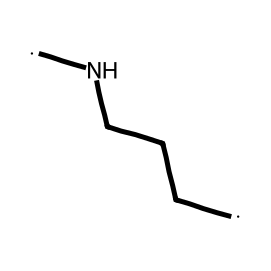 [CH2]CCCN[CH2]